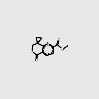 COC(=O)c1ccc2c(n1)C1(CC1)COC2=O